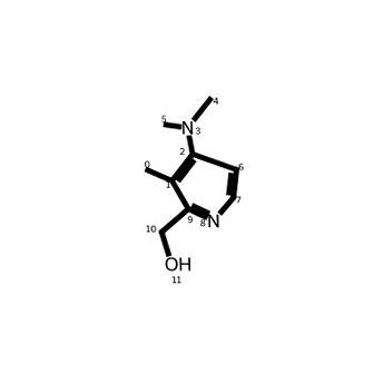 Cc1c(N(C)C)ccnc1CO